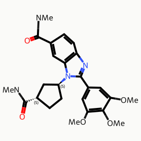 CNC(=O)c1ccc2nc(-c3cc(OC)c(OC)c(OC)c3)n([C@H]3CC[C@H](C(=O)NC)C3)c2c1